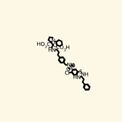 C[C@H](N[C@@H](CCc1ccc(CNS(=O)(=O)c2cc3c(cc2Cl)NC(CCc2ccccc2)NS3)cc1)C(=O)O)C(=O)[C@]1(C(=O)O)CCCN1C1CCCCC1